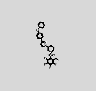 O=S(=O)(c1c(F)c(F)c(F)c(F)c1CF)N1CCCC(n2ccc(-c3ccc(Oc4ccccc4)cc3)n2)C1